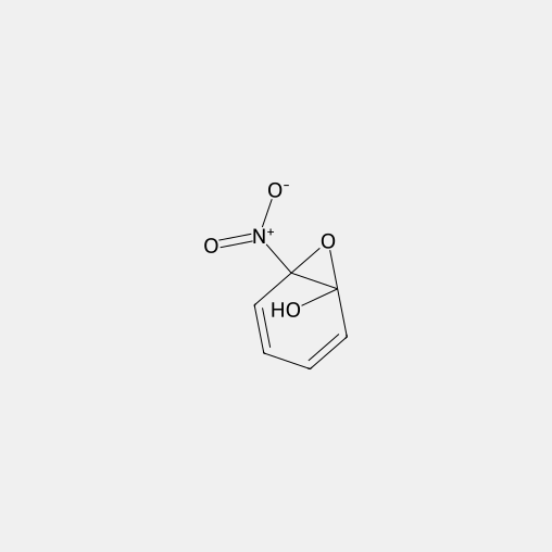 O=[N+]([O-])C12C=CC=CC1(O)O2